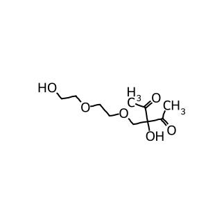 CC(=O)C(O)(COCCOCCO)C(C)=O